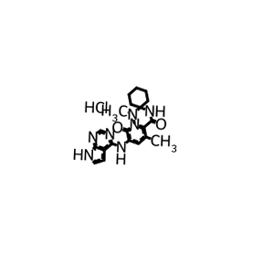 Cc1cc(Nc2ncnc3[nH]ccc23)c(=O)n2c1C(=O)NC1(CCCCC1)N2C.Cl